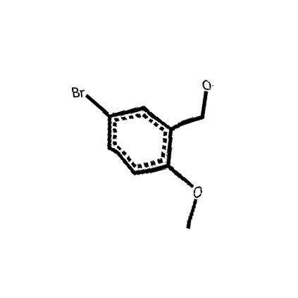 COc1ccc(Br)cc1C[O]